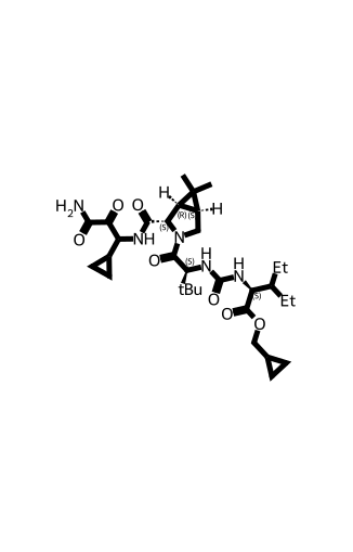 CCC(CC)[C@H](NC(=O)N[C@H](C(=O)N1C[C@H]2[C@@H]([C@H]1C(=O)NC(C(=O)C(N)=O)C1CC1)C2(C)C)C(C)(C)C)C(=O)OCC1CC1